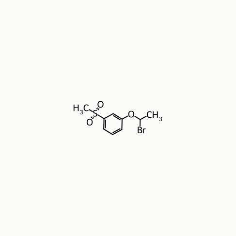 CC(Br)Oc1cccc(S(C)(=O)=O)c1